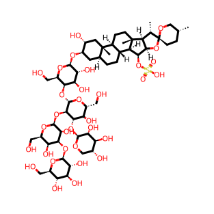 C[C@@H]1CC[C@@]2(OC1)O[C@H]1[C@@H](OS(=O)(=O)O)[C@H]3[C@@H]4CC[C@H]5C[C@@H](O[C@@H]6O[C@H](CO)[C@H](O[C@@H]7O[C@H](CO)C(O)[C@H](O[C@@H]8OC[C@@H](O)[C@H](O)[C@H]8O)[C@H]7O[C@@H]7O[C@H](CO)[C@H](O)[C@H](O[C@@H]8O[C@H](CO)[C@@H](O)[C@H](O)[C@H]8O)[C@H]7O)[C@H](O)[C@H]6O)[C@H](O)C[C@]5(C)[C@H]4CC[C@]3(C)[C@H]1[C@@H]2C